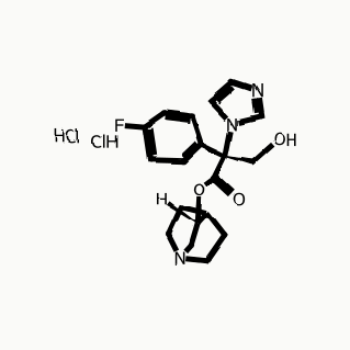 Cl.Cl.O=C(O[C@H]1CN2CCC1CC2)[C@](CO)(c1ccc(F)cc1)n1ccnc1